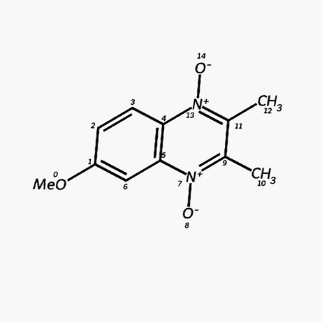 COc1ccc2c(c1)[n+]([O-])c(C)c(C)[n+]2[O-]